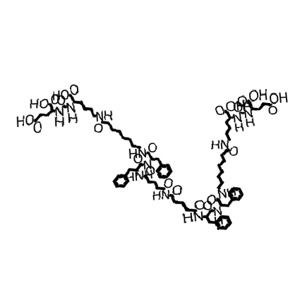 O=C(O)CCC(NC(=O)NC(CCCCNC(=O)CCCCCCCNC(=O)C(Cc1ccccc1)NC(=O)C(Cc1ccccc1)NC(=O)CCCC(=O)NC(=O)CCCC(=O)NC(Cc1ccccc1)C(=O)NC(Cc1ccccc1)C(=O)NCCCCCCCC(=O)NCCCCC(NC(O)NC(CCC(=O)O)C(=O)O)C(=O)O)C(=O)O)C(=O)O